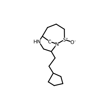 [O-][S+]1CCCC2CN1C(CCC1CCCC1)CN2